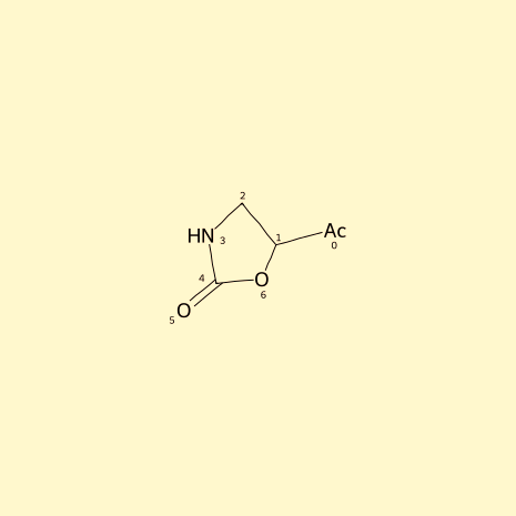 CC(=O)C1CNC(=O)O1